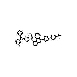 Cc1cccc(N(c2ccccc2)c2ccc3c(c2)oc2c4cccc5c(-c6ccc(-c7ccc(C(C)(C)C)cc7)cc6)cc6cccc(c32)c6c54)c1